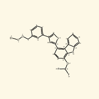 CCOOCc1cccc(-c2csc(-c3ccc(OC(F)F)c4oc5ccccc5c34)n2)n1